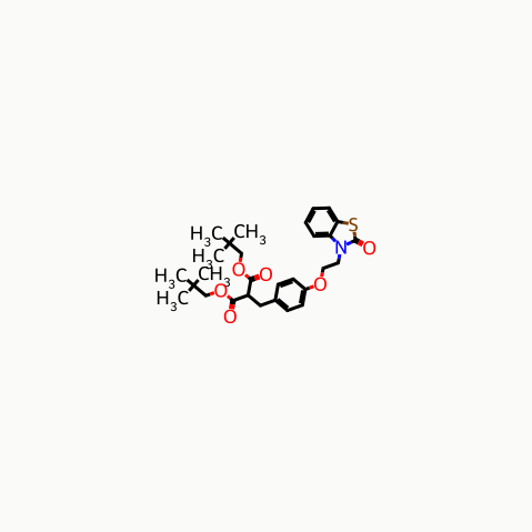 CC(C)(C)COC(=O)C(Cc1ccc(OCCn2c(=O)sc3ccccc32)cc1)C(=O)OCC(C)(C)C